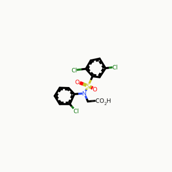 O=C(O)CN(c1ccccc1Cl)S(=O)(=O)c1cc(Cl)ccc1Cl